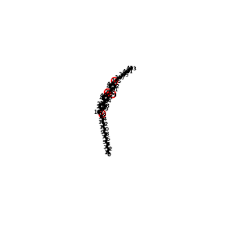 CCCCCCCCCCCCCCCCOC(C)c1ccc(-c2ccc(OC(=O)c3ccc(OCCCCCCCCC)cc3)cc2)cc1